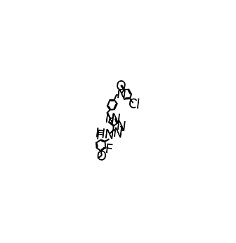 COc1ccc(F)c(CNc2ncnc3nn(Cc4ccc(Cn5cc(Cl)ccc5=O)cc4)cc23)c1F